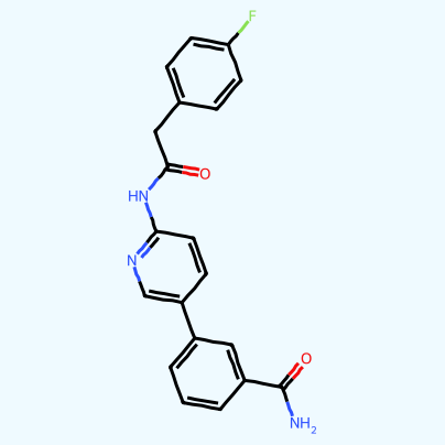 NC(=O)c1cccc(-c2ccc(NC(=O)Cc3ccc(F)cc3)nc2)c1